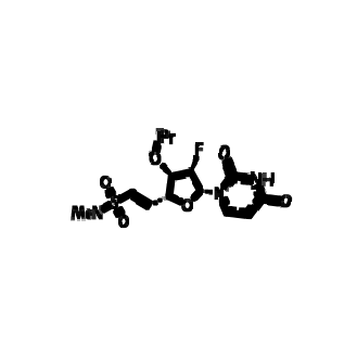 CNS(=O)(=O)/C=C/[C@H]1O[C@@H](n2ccc(=O)[nH]c2=O)[C@H](F)[C@@H]1OC(C)C